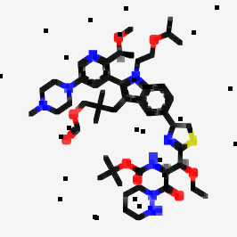 CCO[C@H](C1=NC(c2ccc3c(c2)c(CC(C)(C)COC=O)c(-c2cc(N4CCN(C)CC4)cnc2[C@H](C)OC)n3CCOC(C)C)CS1)[C@H](NC(=O)OC(C)(C)C)C(=O)N1CCCCN1